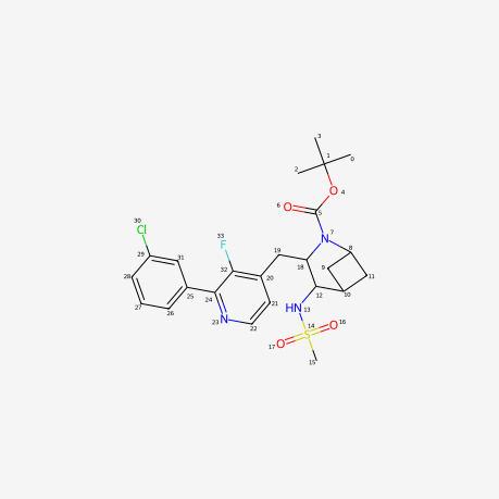 CC(C)(C)OC(=O)N1C2CC(C2)C(NS(C)(=O)=O)C1Cc1ccnc(-c2cccc(Cl)c2)c1F